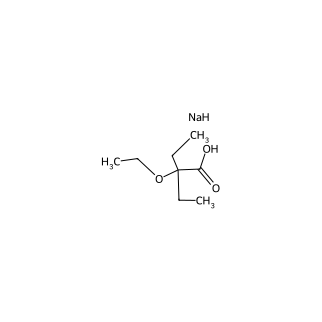 CCOC(CC)(CC)C(=O)O.[NaH]